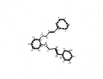 C(=C\c1ccccc1)/COc1ccccc1OC/C=C/c1ccccc1